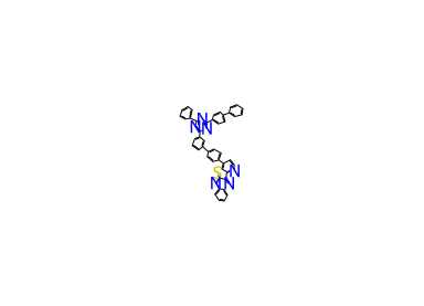 c1ccc(-c2ccc(-c3nc(-c4ccccc4)nc(-c4cccc(-c5ccc(-c6ccnc7c6sc6nc8ccccc8nc67)cc5)c4)n3)cc2)cc1